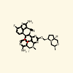 C[C@H](c1cccnc1N)N(C)c1nc(OC[C@H]2CC[C@H]3CO[C@@H](C)CN23)nc2c(F)c(-c3ccc(F)c4sc(N)c(C#N)c34)c(Cl)cc12